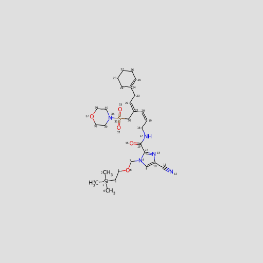 C[Si](C)(C)CCOCn1cc(C#N)nc1C(=O)NC/C=C\C(=C/CC1=CCCCC1)CS(=O)(=O)N1CCOCC1